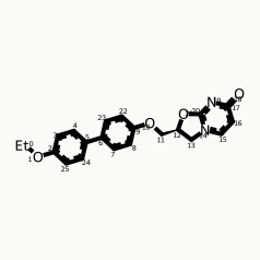 CCOc1ccc(-c2ccc(OC[C@@H]3Cn4ccc(=O)nc4O3)cc2)cc1